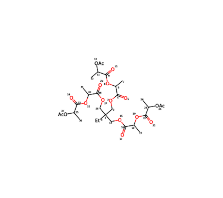 CCC(COC(=O)C(C)OC(=O)C(C)OC(C)=O)(COC(=O)C(C)OC(=O)C(C)OC(C)=O)COC(=O)C(C)OC(=O)C(C)OC(C)=O